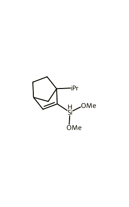 CO[SiH](OC)C1=CC2CCC1(C(C)C)C2